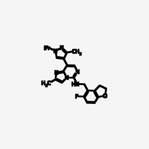 Cc1cn2c(NCc3c(F)ccc4c3CCO4)ncc(-c3cn(C(C)C)nc3C)c2n1